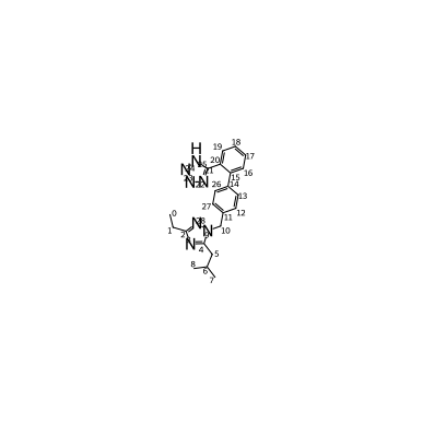 CCc1nc(CC(C)C)n(Cc2ccc(-c3ccccc3-c3nnn[nH]3)cc2)n1